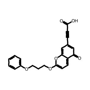 O=C(O)C#Cc1cc2oc(OCCCOc3ccccc3)ccc-2c(=O)c1